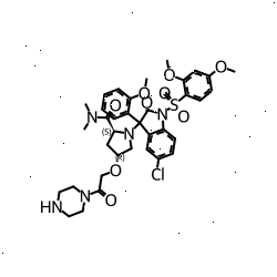 COc1ccc(S(=O)(=O)N2C(=O)C(c3ccccc3OC)(N3C[C@H](OCC(=O)N4CCNCC4)C[C@H]3C(=O)N(C)C)c3cc(Cl)ccc32)c(OC)c1